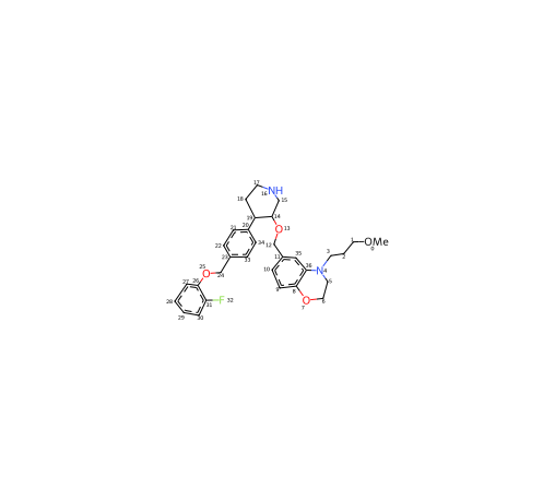 COCCCN1CCOc2ccc(COC3CNCCC3c3ccc(COc4ccccc4F)cc3)cc21